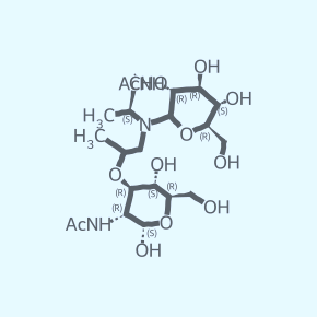 CC(=O)N[C@@H]1[C@@H](OC(C)CN(C2O[C@H](CO)[C@@H](O)[C@H](O)[C@H]2NC(C)=O)[C@@H](C)[C]=O)[C@H](O)[C@@H](CO)O[C@@H]1O